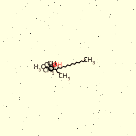 CCCCCCCCCCCCCC(CCC)c1ccc(C(C)(C)C)c(C)c1O